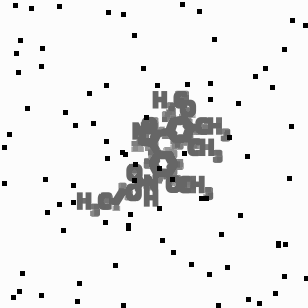 CCCOC(=O)Nc1cc(-c2cnoc2-c2cc(C)c(C)c(OC)c2)ccc1OC